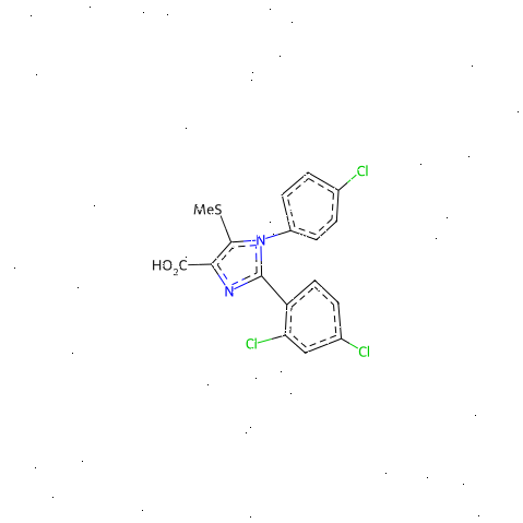 CSc1c(C(=O)O)nc(-c2ccc(Cl)cc2Cl)n1-c1ccc(Cl)cc1